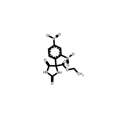 CCOC(=O)C1(c2ccc([N+](=O)[O-])cc2[N+](=O)[O-])NC(=O)NC1=O